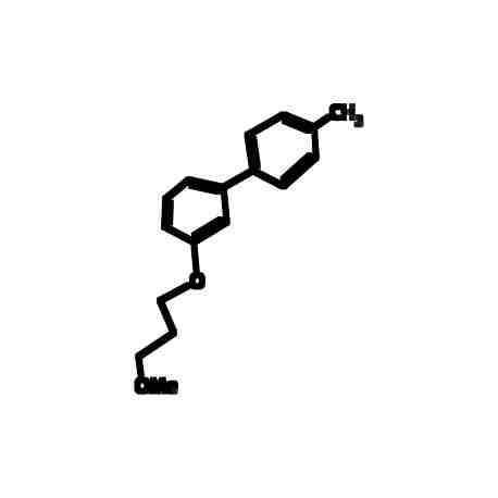 COCCCOc1cccc(-c2ccc(C)cc2)c1